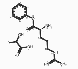 CC(O)C(=O)O.N=C(N)NCCC[C@H](N)C(=O)Oc1ccccc1